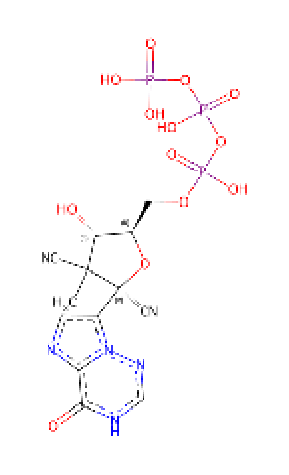 CC1(C#N)[C@H](O)[C@@H](COP(=O)(O)OP(=O)(O)OP(=O)(O)O)O[C@@]1(C#N)c1cnc2c(=O)[nH]cnn12